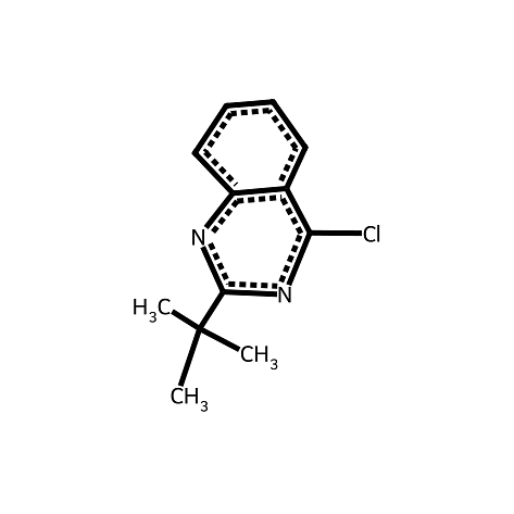 CC(C)(C)c1nc(Cl)c2ccccc2n1